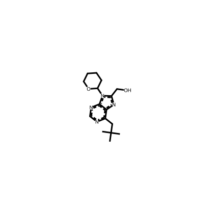 CC(C)(C)Cc1ncnc2c1nc(CO)n2C1CCCCO1